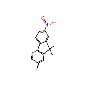 Cc1ccc2c(c1)C(C)(C)c1cc([N+](=O)[O-])ccc1-2